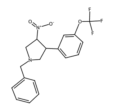 O=[N+]([O-])C1CN(Cc2ccccc2)CC1c1cccc(OC(F)(F)F)c1